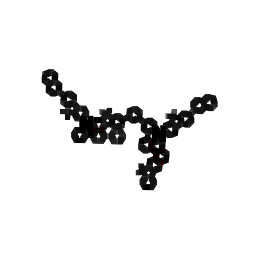 CC1(C)c2ccccc2-c2ccc(-c3ccc(N(c4ccc5c(c4)C(C)(C)c4cc(-c6ccc7ccccc7c6)ccc4-5)c4ccc(-c5cccc(-c6ccc7c(c6)C(C)(C)c6cc(N(c8ccc9c(c8)C(C)(C)c8cc(-c%10ccc%11ccccc%11c%10)ccc8-9)c8ccccc8-c8ccc(-c9ccccc9)cc8)ccc6-7)c5)cc4-c4cccc(-c5ccccc5)c4)cc3)cc21